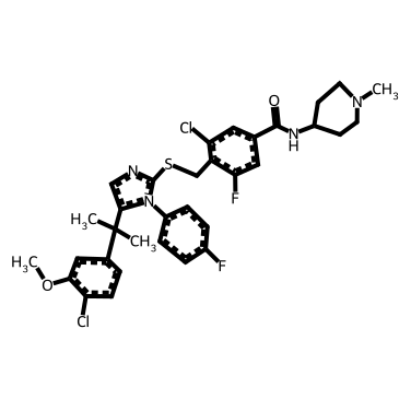 COc1cc(C(C)(C)c2cnc(SCc3c(F)cc(C(=O)NC4CCN(C)CC4)cc3Cl)n2-c2ccc(F)cc2)ccc1Cl